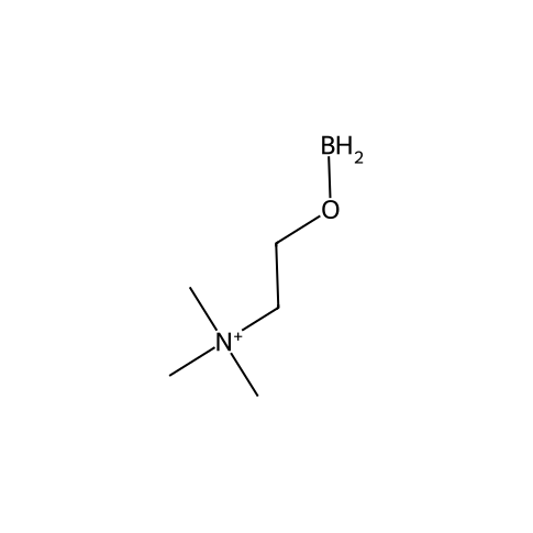 BOCC[N+](C)(C)C